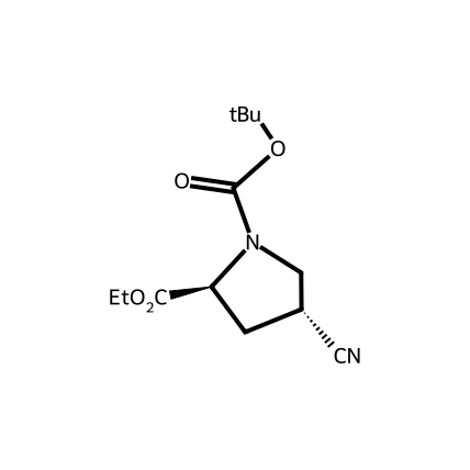 CCOC(=O)[C@@H]1C[C@@H](C#N)CN1C(=O)OC(C)(C)C